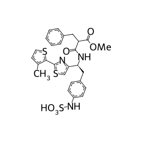 COC(=O)C(Cc1ccccc1)C(=O)N[C@@H](Cc1ccc(NS(=O)(=O)O)cc1)c1csc(-c2sccc2C)n1